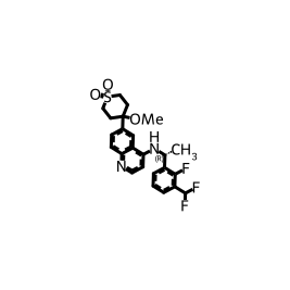 COC1(c2ccc3nccc(N[C@H](C)c4cccc(C(F)F)c4F)c3c2)CCS(=O)(=O)CC1